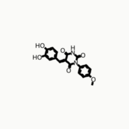 COc1ccc(N2C(=O)NC(=O)/C(=C\c3ccc(O)c(O)c3)C2=O)cc1